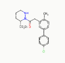 CCOC(=O)C1CCCNN1C(=O)Cc1cc(-c2ccc(Cl)cc2)ccc1C